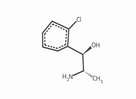 C[C@H](N)[C@H](O)c1ccccc1Cl